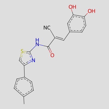 Cc1ccc(-c2csc(NC(=O)/C(C#N)=C/c3ccc(O)c(O)c3)n2)cc1